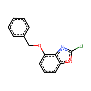 Clc1nc2c(OCc3ccccc3)cccc2o1